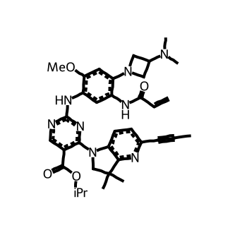 C=CC(=O)Nc1cc(Nc2ncc(C(=O)OC(C)C)c(N3CC(C)(C)c4nc(C#CC)ccc43)n2)c(OC)cc1N1CC(N(C)C)C1